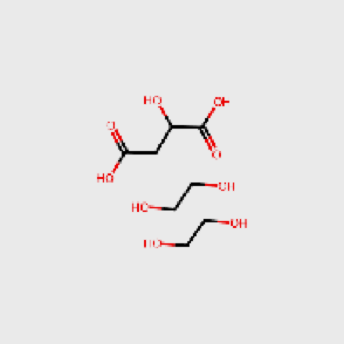 O=C(O)CC(O)C(=O)O.OCCO.OCCO